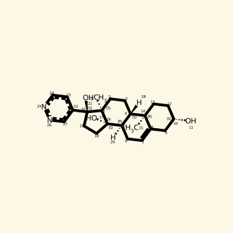 C[C@]12CC[C@H]3[C@@H](CC=C4C[C@@H](O)CC[C@@]43C)[C@@]1(O)CC[C@]2(O)c1ccnnc1